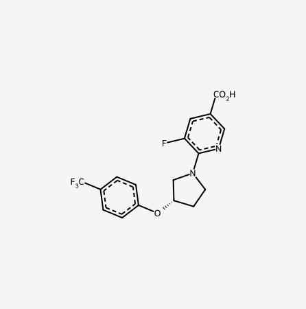 O=C(O)c1cnc(N2CC[C@H](Oc3ccc(C(F)(F)F)cc3)C2)c(F)c1